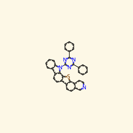 c1ccc(-c2nc(-c3ccccc3)nc(-n3c4ccccc4c4ccc5c6ccc7cnccc7c6sc5c43)n2)cc1